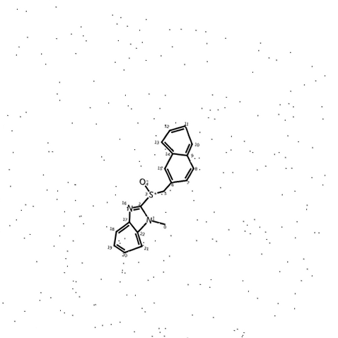 Cn1c([S+]([O-])Cc2ccc3ccccc3c2)nc2ccccc21